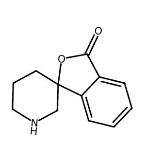 O=C1OC2(CCCNC2)c2ccccc21